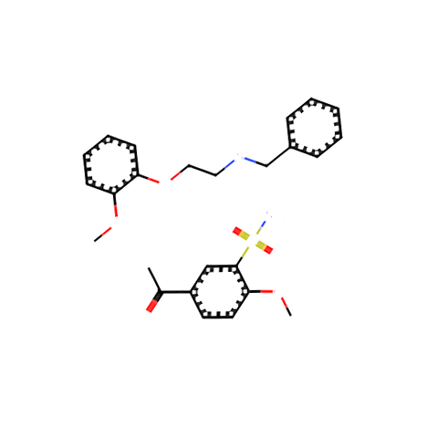 COc1ccc(C(C)=O)cc1S(N)(=O)=O.COc1ccccc1OCCNCc1ccccc1